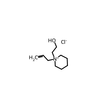 C=CC[N+]1(CCO)CCCCC1.[Cl-]